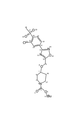 CC(C)(C)OC(=O)N1CCC(OCc2nc(-c3ccc(S(C)(=O)=O)c(Cl)c3)no2)CC1